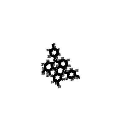 Cc1ccc(N2C3=C(B4c5ccc(C)cc5N(c5ccc(C)cc5)c5cccc2c54)C(C)C(C)C=C3)cc1